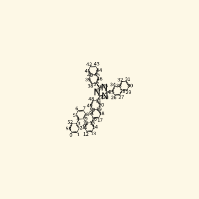 c1ccc(-c2ccccc2-c2ccccc2-c2ccc3cc(-c4nc(-c5ccc6ccccc6c5)nc(-c5ccc6ccccc6c5)n4)ccc3c2)cc1